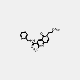 COCCn1ccc2nc(C)c(C(=O)NCc3ccccn3)cc2c1=O